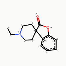 CCN1CCC2(CC1)C(=O)Oc1ccccc12